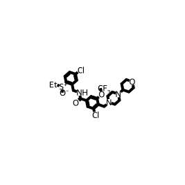 CC[S+]([O-])c1ccc(Cl)cc1CNC(=O)c1cc(Cl)c(CN2CCN(C3CCOCC3)CC2)c(OC(F)(F)F)c1